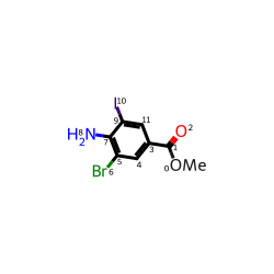 COC(=O)c1cc(Br)c(N)c(I)c1